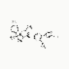 COc1cc(/C=C2\O[C@H](C)CN3C2=NO[C@]3(C)c2ccc(C)cc2)ccc1-n1cnc(C)c1